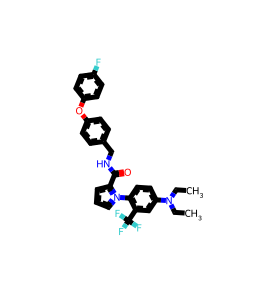 CCN(CC)c1ccc(-n2cccc2C(=O)NCc2ccc(Oc3ccc(F)cc3)cc2)c(C(F)(F)F)c1